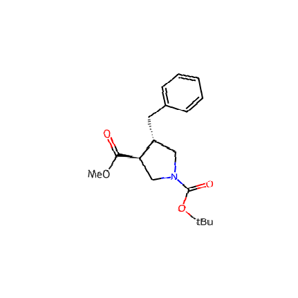 COC(=O)[C@@H]1CN(C(=O)OC(C)(C)C)C[C@H]1Cc1ccccc1